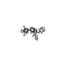 COCC(C)n1c(CC2CCOCC2)nc2ccc(-c3cc(C)c(=O)n(C)c3)cc21